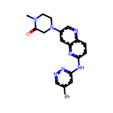 CC(C)c1cnnc(Nc2ccc3ncc(N4CCN(C)C(=O)C4)cc3n2)c1